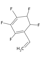 C=CC1=C(F)C(F)=C(F)C(F)C1F